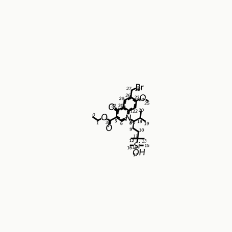 CCOC(=O)c1cn([C@H](CCC(C)(C)[Si](C)(C)O)C(C)C)c2cc(OC)c(CBr)cc2c1=O